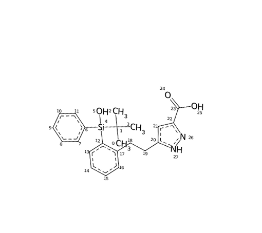 CC(C)(C)[Si](O)(c1ccccc1)c1ccccc1CCc1cc(C(=O)O)n[nH]1